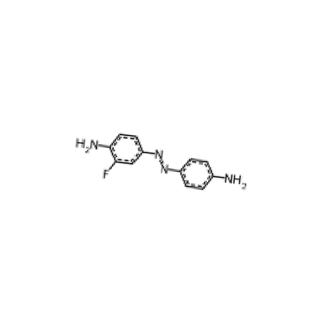 Nc1ccc(N=Nc2ccc(N)c(F)c2)cc1